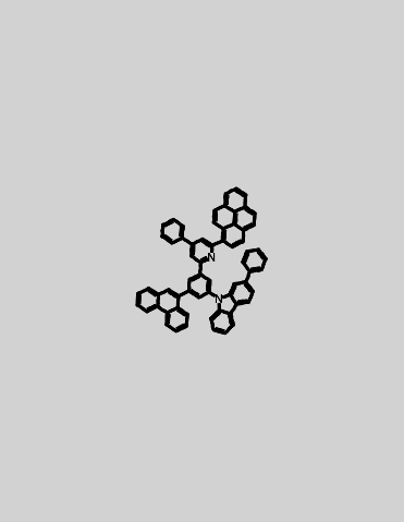 c1ccc(-c2cc(-c3cc(-c4cc5ccccc5c5ccccc45)cc(-n4c5ccccc5c5ccc(-c6ccccc6)cc54)c3)nc(-c3ccc4ccc5cccc6ccc3c4c56)c2)cc1